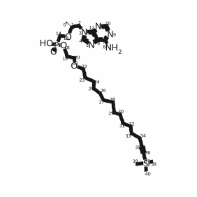 C[C@H](Cn1cnc2c(N)ncnc21)OCP(=O)(O)OCCOCCCCCCCCCCCCCC#C[Si](C)(C)C